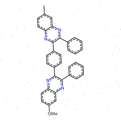 COc1ccc2nc(-c3ccc(-c4nc5ccc(C)cc5nc4-c4ccccc4)cc3)c(-c3ccccc3)nc2c1